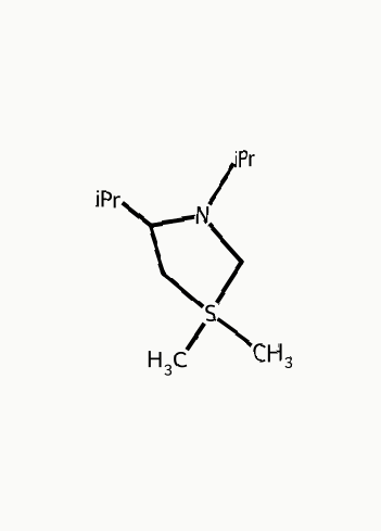 CC(C)C1CS(C)(C)CN1C(C)C